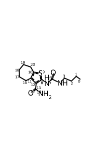 CCCCNC(=O)Nc1sc2c(c1C(N)=O)CCCCC2